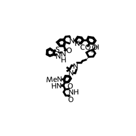 CNc1cc(N2CCN(CCCC[C@H]3CC[C@H](Oc4cccc(-c5ccc(N6CCc7cccc(C(=O)Nc8nc9ccccc9s8)c7C6)nc5C(=O)O)c4C)CC3)CC2(C)C)ccc1C(=N)C1CCC(=O)NC1=O